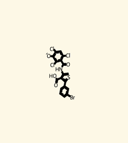 COc1c(Cl)cc(Cl)c(C(=O)Nc2csc(-c3cccc(Br)c3)c2C(=O)O)c1Cl